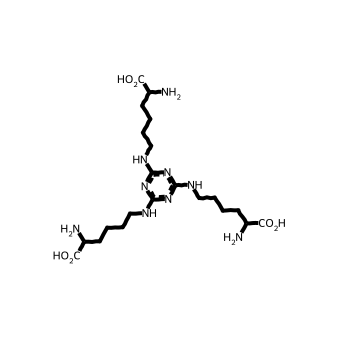 NC(CCCCNc1nc(NCCCCC(N)C(=O)O)nc(NCCCCC(N)C(=O)O)n1)C(=O)O